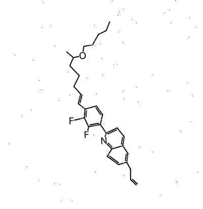 C=CCc1ccc2nc(-c3ccc(C=CCCCC(C)OCCCCC)c(F)c3F)ccc2c1